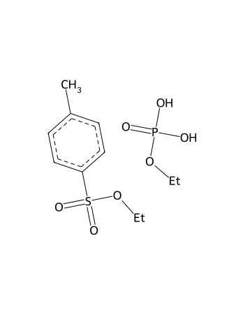 CCOP(=O)(O)O.CCOS(=O)(=O)c1ccc(C)cc1